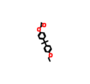 CCOc1ccc(C(C)(C)c2ccc(OC3CO3)cc2)cc1